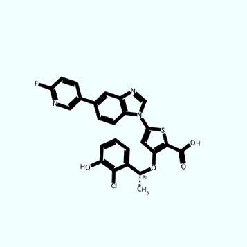 C[C@@H](Oc1cc(-n2cnc3cc(-c4ccc(F)nc4)ccc32)sc1C(=O)O)c1cccc(O)c1Cl